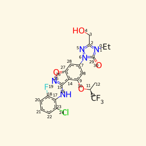 CCn1c(CO)nn(-c2cc(O[C@@H](C)C(F)(F)F)c3c(Nc4c(F)cccc4Cl)noc3c2)c1=O